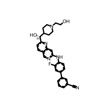 N#Cc1cccc(-c2ccc(Nc3cc4nc([C@H](O)C5CCN(CCO)CC5)ccc4cn3)c(F)c2)c1